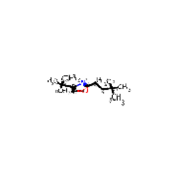 CC(C)(C)CCc1nc(C(C)(C)C)co1